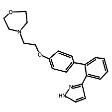 c1ccc(-c2cc[nH]n2)c(-c2ccc(OCCN3CCOCC3)cc2)c1